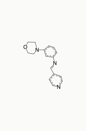 C(=Nc1cccc(N2CCOCC2)c1)c1ccncc1